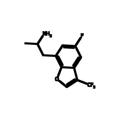 CC(N)Cc1cc(F)cc2c(C(F)(F)F)coc12